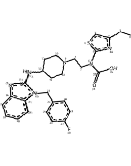 CCc1csc(N(CCN2CCC(Nc3nc4ccccc4n3Cc3ccc(F)cc3)CC2)C(=O)O)n1